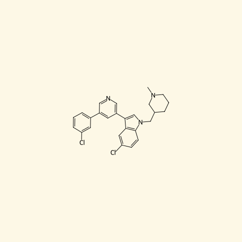 CN1CCCC(Cn2cc(-c3cncc(-c4cccc(Cl)c4)c3)c3cc(Cl)ccc32)C1